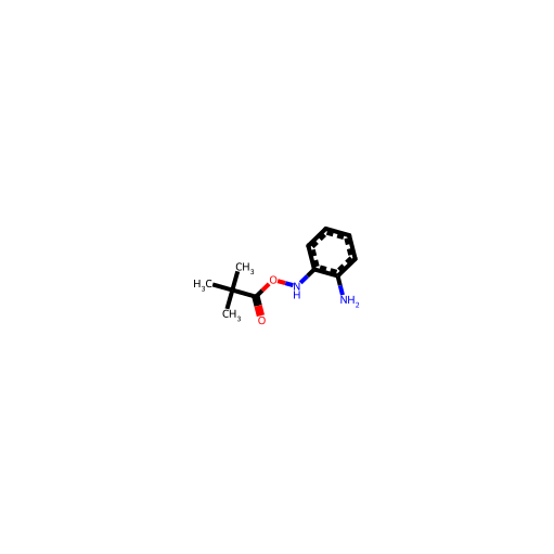 CC(C)(C)C(=O)ONc1ccccc1N